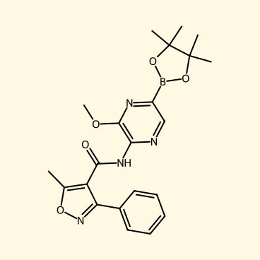 COc1nc(B2OC(C)(C)C(C)(C)O2)cnc1NC(=O)c1c(-c2ccccc2)noc1C